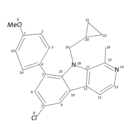 COc1ccc(-c2cc(Cl)cc3c4ccnc(C)c4n(CC4CC4)c23)cc1